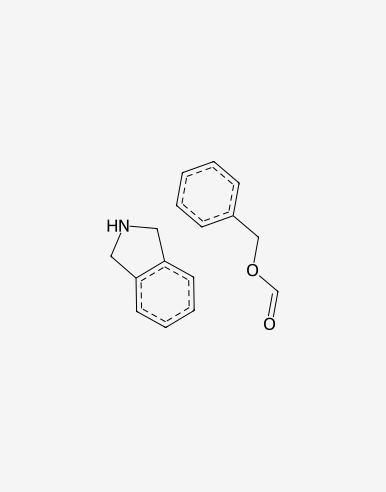 O=COCc1ccccc1.c1ccc2c(c1)CNC2